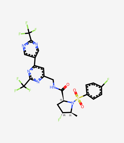 C[C@H]1[C@H](F)C[C@@H](C(=O)NCc2cc(-c3cnc(C(F)(F)F)nc3)nc(C(F)(F)F)n2)N1S(=O)(=O)c1ccc(F)cc1